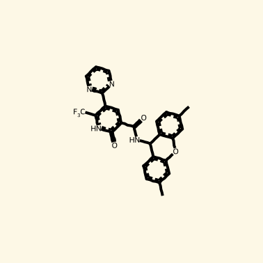 Cc1ccc2c(c1)Oc1cc(C)ccc1C2NC(=O)c1cc(-c2ncccn2)c(C(F)(F)F)[nH]c1=O